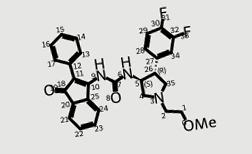 COCCN1C[C@@H](NC(=O)NC2=C(c3ccccc3)C(=O)c3ccccc32)[C@H](c2ccc(F)c(F)c2)C1